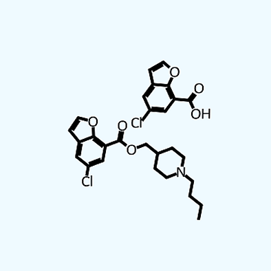 CCCCN1CCC(COC(=O)c2cc(Cl)cc3ccoc23)CC1.O=C(O)c1cc(Cl)cc2ccoc12